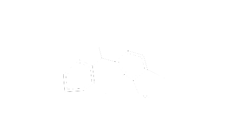 CCOC(=O)c1c(C(c2ccccc2)S(=O)(=O)O)ccc(Br)c1OC